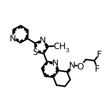 Cc1nc(-c2cccnc2)sc1-c1ccc2c(n1)/C(=N/OCC(F)F)CCC2